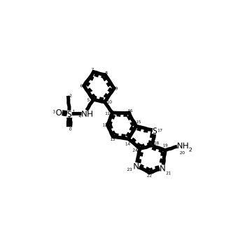 C=S(C)(=O)Nc1ccccc1-c1ccc2c(c1)sc1c(N)ncnc12